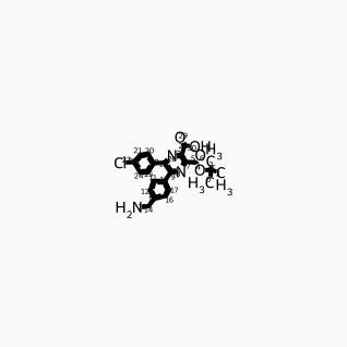 CC(C)(C)OC(=O)c1nc(-c2ccc(CN)cc2)c(-c2ccc(Cl)cc2)nc1C(=O)O